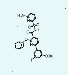 CC(C)COc1cc(F)cc(-c2ccc(C(=O)NS(=O)(=O)c3cccc(N)n3)c(OC3CC4CCC3C4)n2)c1